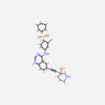 Cc1cc(Nc2ncnc3ccc(C#CC4(O)CCCNC4)cc23)ccc1S(=O)(=O)c1ccccc1